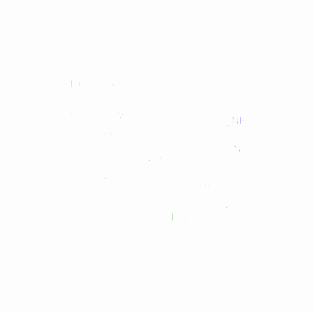 COC(=O)c1ccc2[nH]nc(Br)c2c1C(c1ccccc1)(c1ccccc1)c1ccccc1F